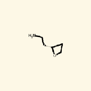 NCC[C@@H]1CCO1